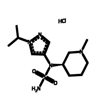 CC(C)n1cc(N([C@@H]2CCCN(C)C2)S(N)(=O)=O)cn1.Cl